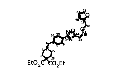 CCOC(=O)C1(C(=O)OCC)CCN(Cc2ccc(-c3noc(/C=N\OCc4ccco4)n3)cc2)CC1